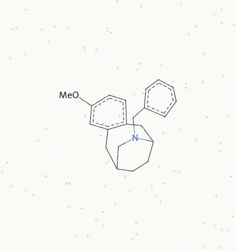 COc1ccc2c(c1)CC1CCC(C2)N(Cc2ccccc2)C1